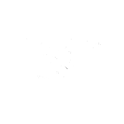 COC(=O)N1CC[C@]2(C1)C(=O)N(c1ccc(C#N)cc1F)CC(=O)N2Cc1ccc(C(F)(F)F)cc1